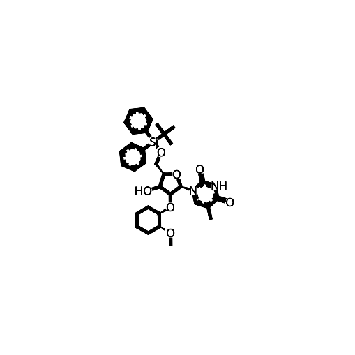 CO[C@@H]1CCCC[C@H]1OC1C(O)[C@@H](CO[Si](c2ccccc2)(c2ccccc2)C(C)(C)C)O[C@H]1n1cc(C)c(=O)[nH]c1=O